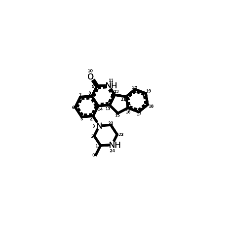 CC1CN(c2cccc3c(=O)[nH]c4c(c23)Cc2ccccc2-4)CCN1